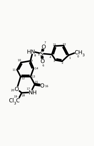 Cc1ccc(S(=O)(=O)Nc2ccc3c(c2)C(=O)NC(C(Cl)(Cl)Cl)O3)cc1